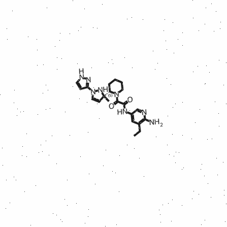 CCc1cc(NC(=O)C(=O)N2CCCC[C@H]2C2(C)C=CN(c3cc[nH]n3)N2)cnc1N